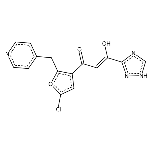 O=C(C=C(O)c1nc[nH]n1)c1cc(Cl)oc1Cc1ccncc1